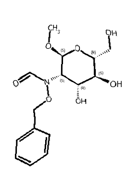 CO[C@H]1O[C@H](CO)[C@@H](O)[C@H](O)[C@@H]1N(C=O)OCc1ccccc1